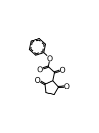 O=C(Oc1ccccc1)C(=O)C1C(=O)CCC1=O